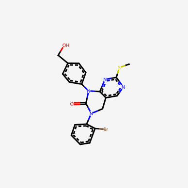 CSc1ncc2c(n1)N(c1ccc(CO)cc1)C(=O)N(c1ccccc1Br)C2